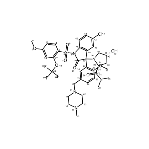 COc1ccc(S(=O)(=O)N2C(=O)C(c3cc(CN4CCN(C)CC4)ccc3OC)(N3C[C@H](O)C[C@H]3C(=O)N(C)C)c3cc(Cl)ccc32)c(OC(F)(F)F)c1